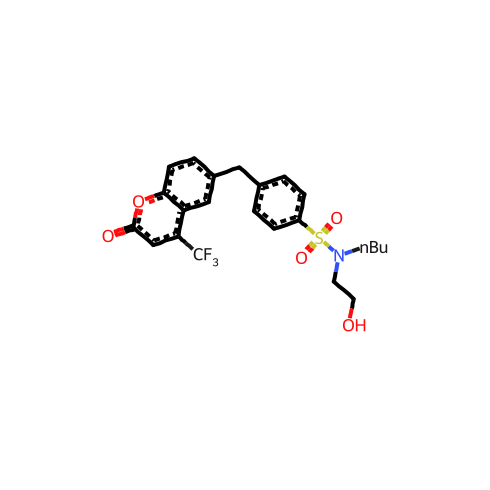 CCCCN(CCO)S(=O)(=O)c1ccc(Cc2ccc3oc(=O)cc(C(F)(F)F)c3c2)cc1